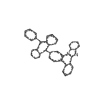 c1ccc(-c2c3ccccc3c(-c3ccc4c5ccccc5c5nc6ccccc6n5c4c3)c3ccccc23)cc1